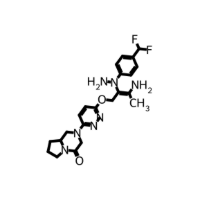 C/C(N)=C(\COc1ccc(N2CC(=O)N3CCCC3C2)nn1)N(N)c1ccc(C(F)F)cc1